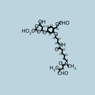 CC(C=O)CC(=O)N(C)CCCCCC(=O)NCCCOc1cc(OC2CC(O)OC(C(=O)O)O2)ccc1COC=O